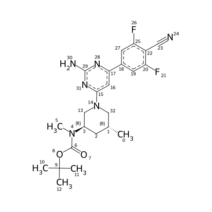 C[C@@H]1C[C@@H](N(C)C(=O)OC(C)(C)C)CN(c2cc(-c3cc(F)c(C#N)c(F)c3)nc(N)n2)C1